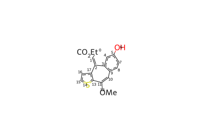 CCOC(=O)C=C1c2cc(O)ccc2C=C(OC)c2sccc21